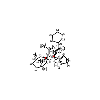 Cc1nnc(C(C)C)n1[C@@H]1C[C@H]2CC[C@@H](C1)N2CC[C@H](NC(=O)C1CCCCC1)c1cncs1